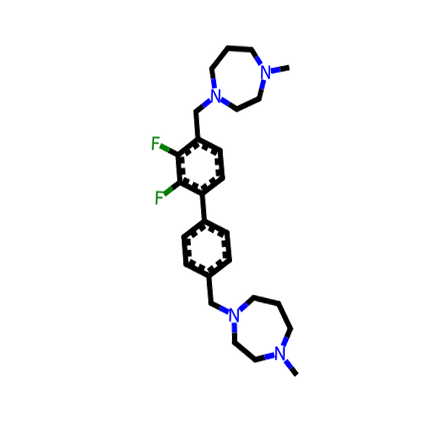 CN1CCCN(Cc2ccc(-c3ccc(CN4CCCN(C)CC4)c(F)c3F)cc2)CC1